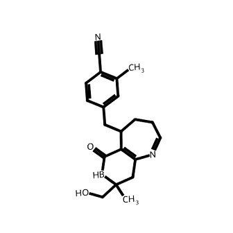 Cc1cc(CC2CCC=NC3=C2C(=O)BC(C)(CO)C3)ccc1C#N